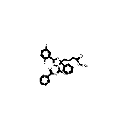 CSC(=NC(=O)c1ccccc1)N1N=C(c2cc(F)ccc2F)SC1(CCCC(=O)OC(C)(C)C)c1ccccc1